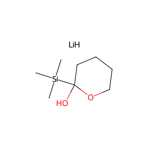 C[Si](C)(C)C1(O)CCCCO1.[LiH]